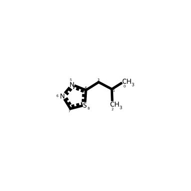 CC(C)Cc1nncs1